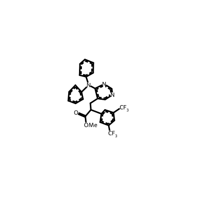 COC(=O)C(Cc1cncnc1N(c1ccccc1)c1ccccc1)c1cc(C(F)(F)F)cc(C(F)(F)F)c1